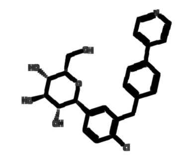 OC[C@H]1O[C@@H](c2ccc(Cl)c(Cc3ccc(-c4ccncc4)cc3)c2)[C@H](O)[C@@H](O)[C@@H]1O